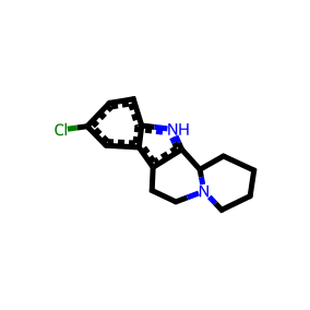 Clc1ccc2[nH]c3c(c2c1)CCN1CCCCC31